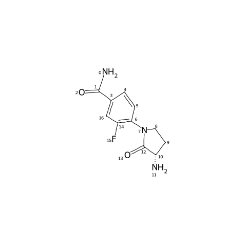 NC(=O)c1ccc(N2CC[C@H](N)C2=O)c(F)c1